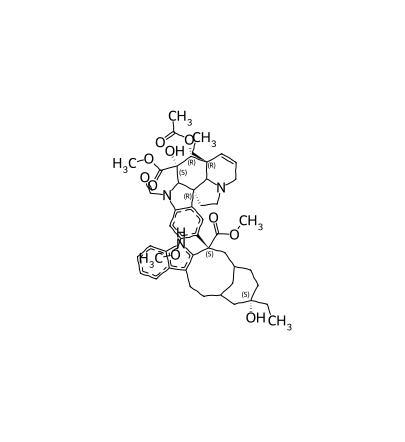 CC[C@]1(O)CCC2CC(CCc3c([nH]c4ccccc34)[C@@](C(=O)OC)(c3cc4c(cc3OC)N(C=O)C3[C@]45CCN4CC=C[C@](CC)(C45)[C@@H](OC(C)=O)[C@]3(O)C(=O)OC)C2)C1